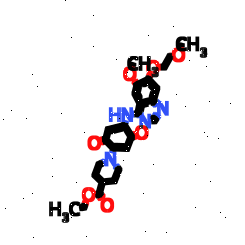 CCOC(=O)C1CCN(C2=CC(=O)C(Nc3ncnc4cc(OCCOC)c(OC)cc34)=CC2=O)CC1